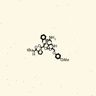 COc1ccc(OCC(=O)N[C@@H](CC(N)=O)C(=O)N[C@@H](Cc2ccccc2)C(O)C(=O)N2CCC[C@H]2C(=O)NC(C)(C)C)cc1